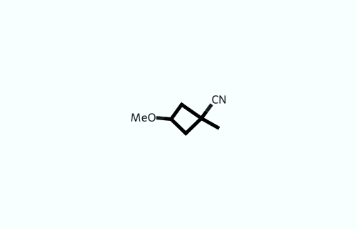 COC1CC(C)(C#N)C1